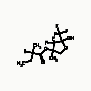 CCC(C)(I)C(=O)OC1(C)COC(O)(C(F)(F)F)C1(F)F